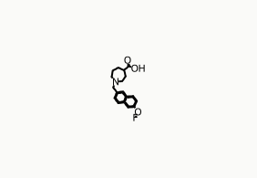 O=C(O)C1CCCN(Cc2ccc3cc(OF)ccc3c2)CC1